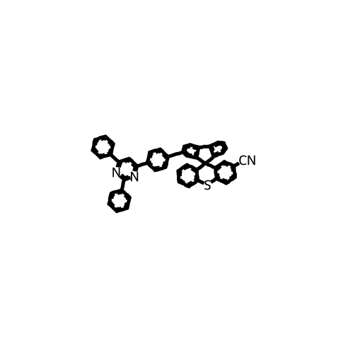 N#Cc1ccc2c(c1)C1(c3ccccc3S2)c2ccccc2-c2ccc(-c3ccc(-c4cc(-c5ccccc5)nc(-c5ccccc5)n4)cc3)cc21